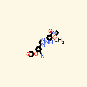 COc1cc(Nc2nccc(-c3ccc(OC4CCOCC4)c(C#N)c3)n2)ccc1C(=O)N1CCC1